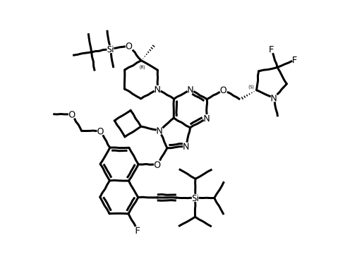 COCOc1cc(Oc2nc3nc(OC[C@@H]4CC(F)(F)CN4C)nc(N4CCC[C@@](C)(O[Si](C)(C)C(C)(C)C)C4)c3n2C2CCC2)c2c(C#C[Si](C(C)C)(C(C)C)C(C)C)c(F)ccc2c1